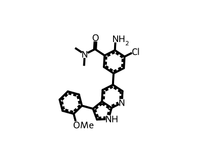 COc1ccccc1-c1c[nH]c2ncc(-c3cc(Cl)c(N)c(C(=O)N(C)C)c3)cc12